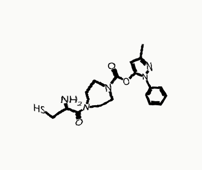 Cc1cc(OC(=O)N2CCN(C(=O)C(N)CS)CC2)n(-c2ccccc2)n1